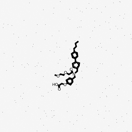 CCCCc1ccc(-c2ccc(CN(Cc3ccc(OCC(=O)O)cc3)C(=O)COCCOC)cc2)cc1